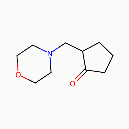 O=C1CCCC1CN1CCOCC1